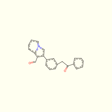 O=Cc1c(-c2cccc(CC(=O)c3ccccc3)c2)cn2ccccc12